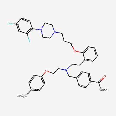 CCOC(=O)c1ccc(OCCN(CCc2ccccc2OCCCN2CCN(c3ccc(F)cc3F)CC2)Cc2ccc(C(=O)OC)cc2)cc1